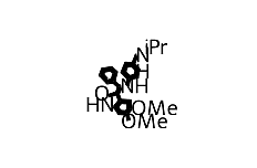 COc1cc2c(cc1OC)C(=C(Nc1ccc(CNC(C)C)cc1)c1ccccc1)C(=O)N2